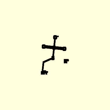 CCCCSS(=O)(=O)[O-].[K+]